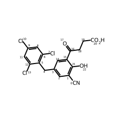 N#Cc1cc(Cc2c(Cl)cc(Cl)cc2Cl)cc(C(=O)CCC(=O)O)c1O